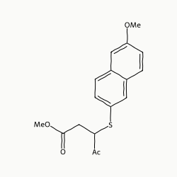 COC(=O)CC(Sc1ccc2cc(OC)ccc2c1)C(C)=O